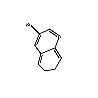 Brc1cnc2c(c1)=CCCC=2